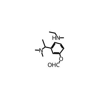 CC(c1cccc(OC=O)c1)N(C)C.CCNC